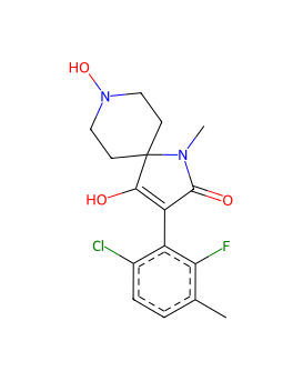 Cc1ccc(Cl)c(C2=C(O)C3(CCN(O)CC3)N(C)C2=O)c1F